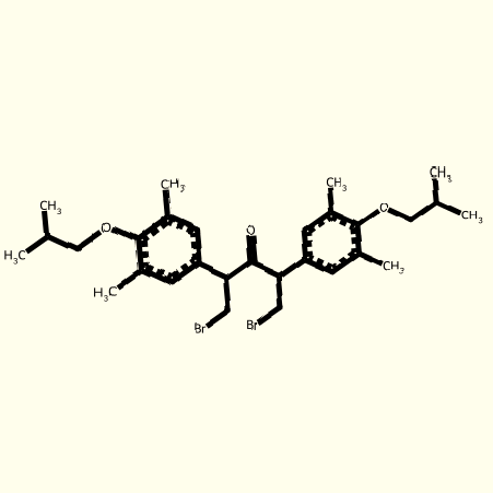 Cc1cc(C(CBr)C(=O)C(CBr)c2cc(C)c(OCC(C)C)c(C)c2)cc(C)c1OCC(C)C